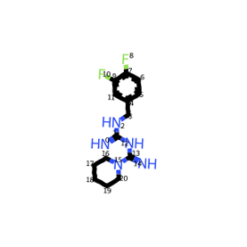 N=C(NCc1ccc(F)c(F)c1)NC(=N)N1CCCCC1